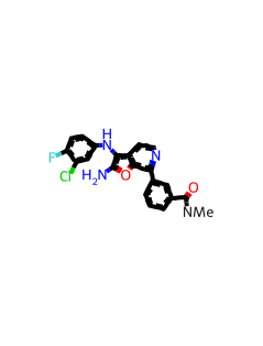 CNC(=O)c1cccc(-c2nccc3c(Nc4ccc(F)c(Cl)c4)c(N)oc23)c1